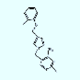 Cc1ncc(Cn2cc(COc3ccccc3C)nn2)c(N)n1